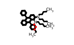 CCCCCN(CCCCC)c1ccc2c(-c3ccccc3)c3ccccc3c(-c3ccccc3)c2c1N(CCCCC)CCCCC